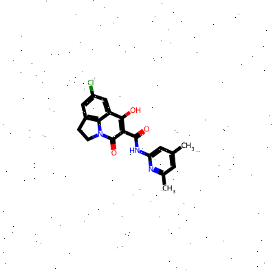 Cc1cc(C)nc(NC(=O)c2c(O)c3cc(Cl)cc4c3n(c2=O)CC4)c1